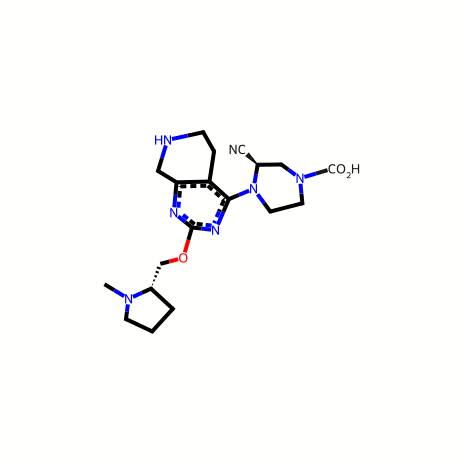 CN1CCC[C@H]1COc1nc2c(c(N3CCN(C(=O)O)C[C@@H]3C#N)n1)CCNC2